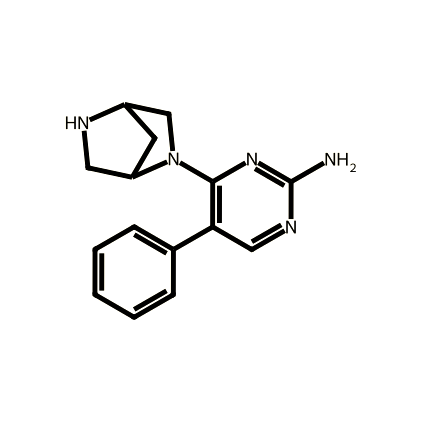 Nc1ncc(-c2ccccc2)c(N2CC3CC2CN3)n1